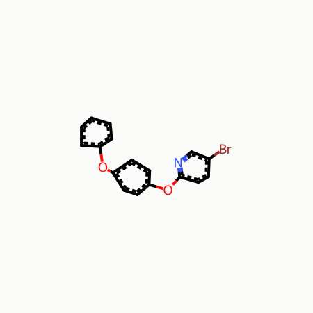 Brc1ccc(Oc2ccc(Oc3ccccc3)cc2)nc1